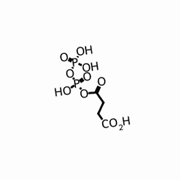 O=C(O)CCC(=O)OP(=O)(O)OP(=O)(O)O